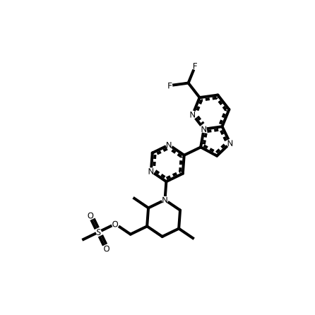 CC1CC(COS(C)(=O)=O)C(C)N(c2cc(-c3cnc4ccc(C(F)F)nn34)ncn2)C1